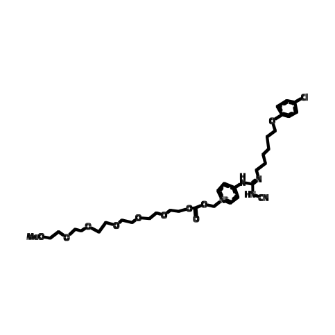 COCCOCCOCCOCCOCCOCCOC(=O)OC[n+]1ccc(N/C(=N\CCCCCCOc2ccc(Cl)cc2)NC#N)cc1